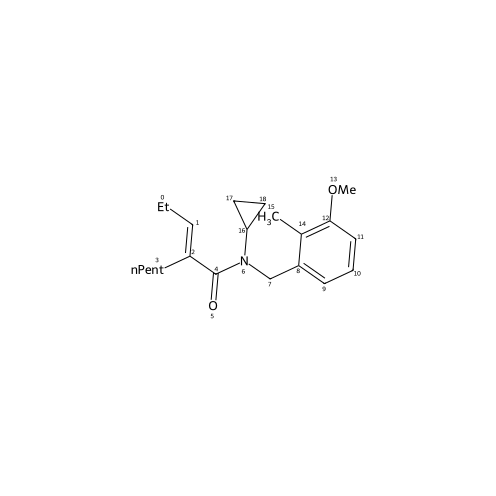 CCC=C(CCCCC)C(=O)N(Cc1cccc(OC)c1C)C1CC1